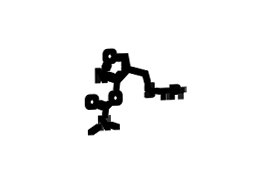 CCCSCc1conc1OC(=O)N(C)C